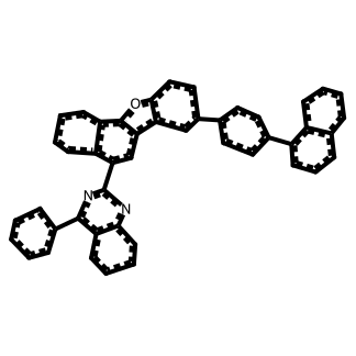 c1ccc(-c2nc(-c3cc4c5cc(-c6ccc(-c7cccc8ccccc78)cc6)ccc5oc4c4ccccc34)nc3ccccc23)cc1